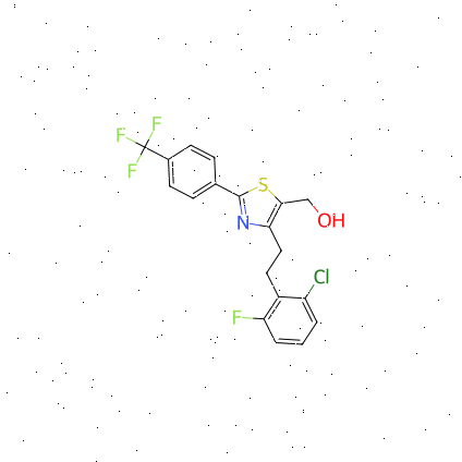 OCc1sc(-c2ccc(C(F)(F)F)cc2)nc1CCc1c(F)cccc1Cl